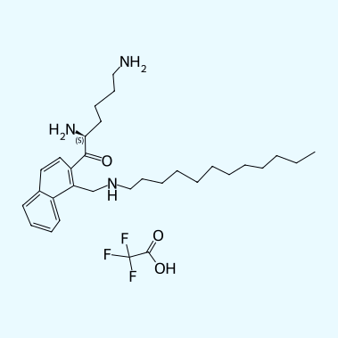 CCCCCCCCCCCCNCc1c(C(=O)[C@@H](N)CCCCN)ccc2ccccc12.O=C(O)C(F)(F)F